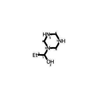 CCC(O)N1CNCNC1